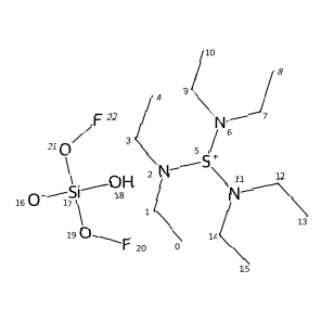 CCN(CC)[S+](N(CC)CC)N(CC)CC.[O-][Si](O)(OF)OF